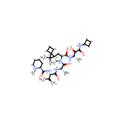 C=C(C)[C@H](NC(=O)[C@@H]1CCCCN1CC)C(=O)N[C@H](C(=O)N1C[C@]2(C[C@H]1C(=O)N[C@@H](CCC)C(=O)C(=O)NC1CCC1)C(C)(C)C21CCC1)C(C)(C)C